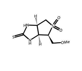 COC[C@H]1[C@H]2NC(=S)N[C@H]2CS1(=O)=O